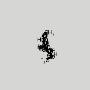 CC(C)n1c(=O)c(-c2ccc(NS(=O)(=O)CCC(F)(F)F)c(F)c2)cc2cnc(NC3CCN(C)CC3)nc21.O=CO